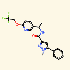 CC(NC(=O)c1cc(-c2ccccc2)n(C)n1)c1ccc(OCC(F)(F)F)nc1